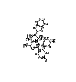 CC(C)C[C@@H]1C(=O)NC(C2Cc3ccccc3C2)C(=O)N1[C@@H](C(=O)N1CCN(C)CC1)c1ccc(F)cc1F